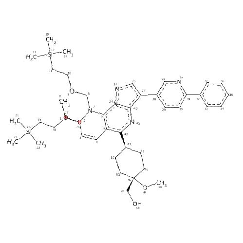 CCO/C=C\c1c(N(COCC[Si](C)(C)C)COCC[Si](C)(C)C)n2ncc(-c3ccc(-c4ccccc4)nc3)c2nc1[C@H]1CC[C@](CO)(OC)CC1